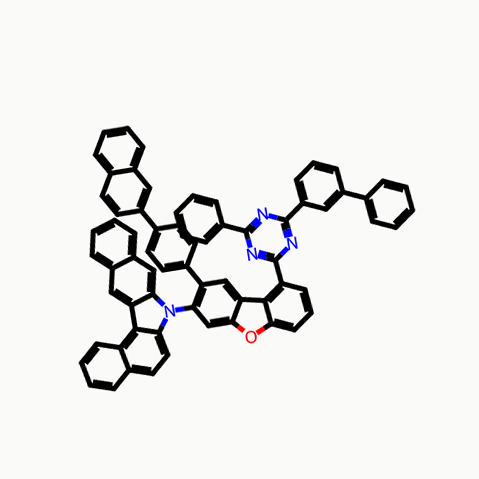 c1ccc(-c2cccc(-c3nc(-c4ccccc4)nc(-c4cccc5oc6cc(-n7c8cc9ccccc9cc8c8c9ccccc9ccc87)c(-c7ccc(-c8ccc9ccccc9c8)cc7)cc6c45)n3)c2)cc1